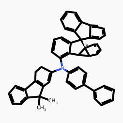 CC1(C)C2=C(CCC(N(c3ccc(-c4ccccc4)cc3)c3cccc4c3C3C5C=CC=C[C@]53C43c4ccccc4-c4ccccc43)=C2)c2ccccc21